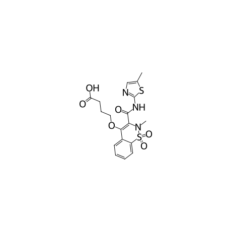 Cc1cnc(NC(=O)C2=C(OCCCC(=O)O)c3ccccc3S(=O)(=O)N2C)s1